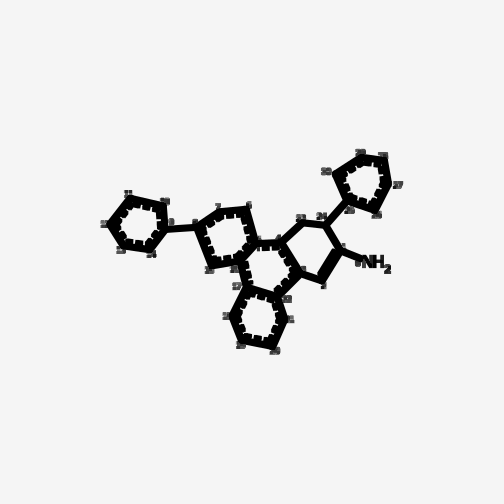 NC1=Cc2c(c3ccc(-c4ccccc4)cc3c3ccccc23)CC1c1ccccc1